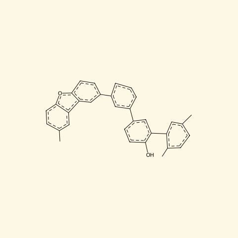 Cc1ccc(C)c(-c2cc(-c3cccc(-c4ccc5oc6ccc(C)cc6c5c4)c3)ccc2O)c1